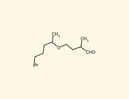 CC(C)CCCC(C)OCCC(C)C=O